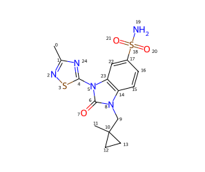 Cc1nsc(-n2c(=O)n(CC3(C)CC3)c3ccc(S(N)(=O)=O)cc32)n1